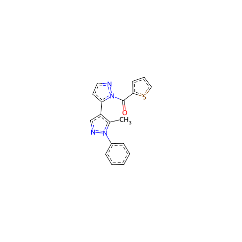 Cc1c(-c2ccnn2C(=O)c2cccs2)cnn1-c1ccccc1